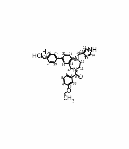 CCOc1cccc(C(=O)N2CCN(Cc3c[nH]cn3)c3ccc(-c4ccccc4)cc3C2)c1.Cl.Cl